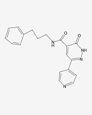 O=C(NCCCc1ccccc1)c1cc(-c2ccncc2)n[nH]c1=O